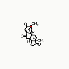 C=C=C[C@]12CCC(=O)C=C1C(=O)C[C@@H]1[C@@H]2CC[C@]2(C)C(=O)CC[C@@H]12